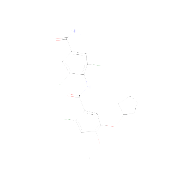 COc1cc(F)c(C(=O)Nc2c(Cl)cc(C(N)=O)cc2Cl)cc1OC1CCCC1